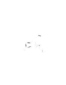 C[C@@H](C[C@H](Cc1ccc(N)cc1)NC(=O)OC(C)(C)C)C(=O)O